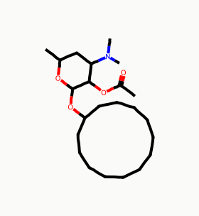 CC(=O)OC1C(OC2CCCCCCCCCCCC2)OC(C)CC1N(C)C